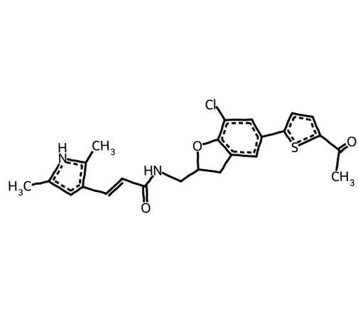 CC(=O)c1ccc(-c2cc(Cl)c3c(c2)CC(CNC(=O)/C=C/c2cc(C)[nH]c2C)O3)s1